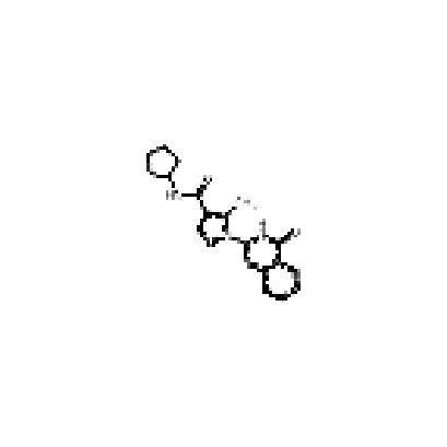 Cc1c(C(=O)NC2CCCC2)cnn1-c1nc2ccccc2c(=O)[nH]1